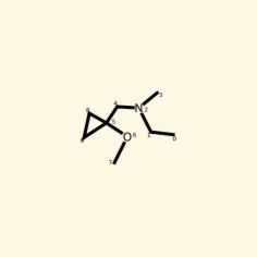 CCN(C)CC1(OC)CC1